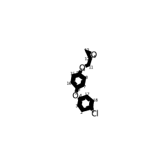 Clc1ccc(Oc2ccc(OCC3CO3)cc2)cc1